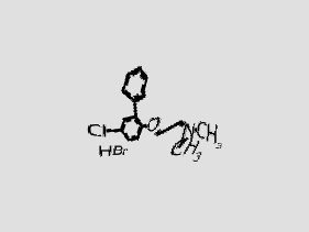 Br.CN(C)CCOc1ccc(Cl)cc1-c1ccccc1